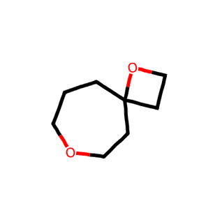 C1COCCC2(C1)CCO2